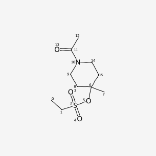 CCS(=O)(=O)OC1(C)CCN(C(C)=O)CC1